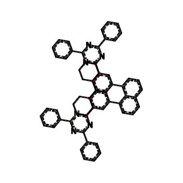 c1ccc(-c2nc(-c3ccccc3)nc(-c3cc(-c4cccc5cccc(-c6cc(-c7nc(-c8ccccc8)nc(-c8ccccc8)n7)cc(C7CCCCC7)c6)c45)cc(C4CCCCC4)c3)n2)cc1